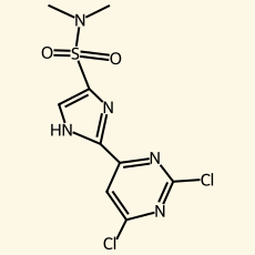 CN(C)S(=O)(=O)c1c[nH]c(-c2cc(Cl)nc(Cl)n2)n1